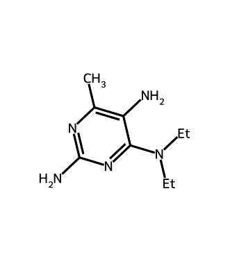 CCN(CC)c1nc(N)nc(C)c1N